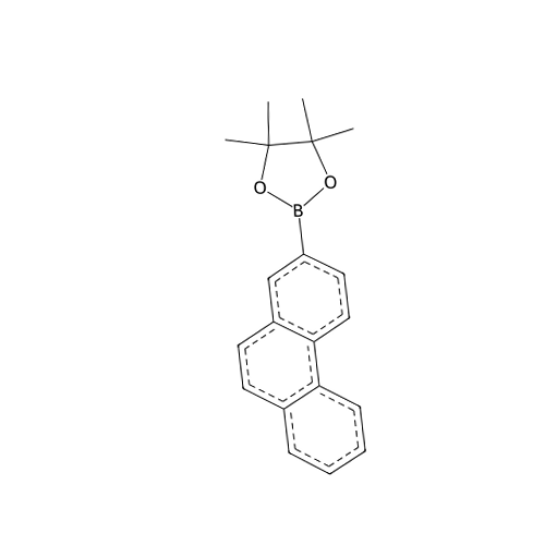 CC1(C)OB(c2ccc3c(ccc4ccccc43)c2)OC1(C)C